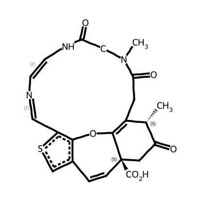 C[C@@H]1C(=O)C[C@]2(C(=O)O)C=Cc3csc4c3OC2=C1CC(=O)N(C)CC(=O)N/C=C\N=C/4